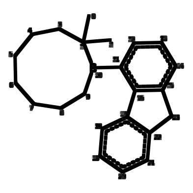 CC1(C)CCCCCCCB1c1cccc2c1-c1ccccc1C2